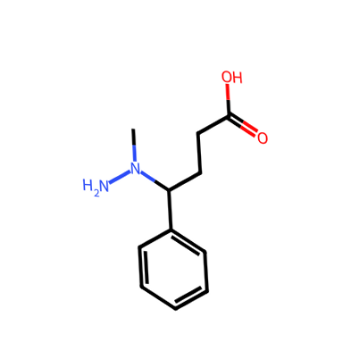 CN(N)C(CCC(=O)O)c1ccccc1